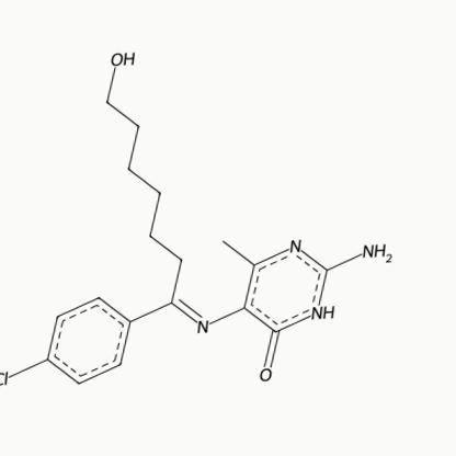 Cc1nc(N)[nH]c(=O)c1/N=C(\CCCCCCO)c1ccc(Cl)cc1